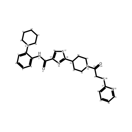 O=C(Nc1ccccc1N1CCCCC1)c1csc(C2CCN(C(=O)CSc3ccccn3)CC2)n1